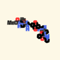 COC(=O)N[C@H](C(=O)N1CCC[C@H]1c1ncc(-c2cc3c4c(c2)OCc2cc(-c5cnc([C@@H]6CCCN6C(=O)[C@H](NC(=O)c6ccccn6)c6ccccc6)[nH]5)cc(c2-4)OC3)[nH]1)C(C)C